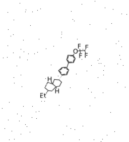 CCC1CC[C@@H]2C[C@H](c3ccc(-c4ccc(OC(F)(F)C(F)F)cc4)cc3)CC[C@@H]2C1